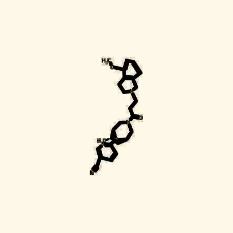 COc1cccc2c1CCN(CCC(=O)N1CC3C[C@H](C)C(C1)N3c1ccc(C#N)cn1)C2